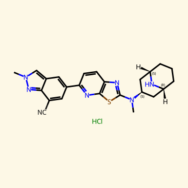 CN(c1nc2ccc(-c3cc(C#N)c4nn(C)cc4c3)nc2s1)[C@@H]1C[C@H]2CCC[C@@H](C1)N2.Cl